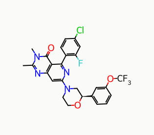 Cc1nc2cc(N3CCO[C@H](c4cccc(OC(F)(F)F)c4)C3)nc(-c3ccc(Cl)cc3F)c2c(=O)n1C